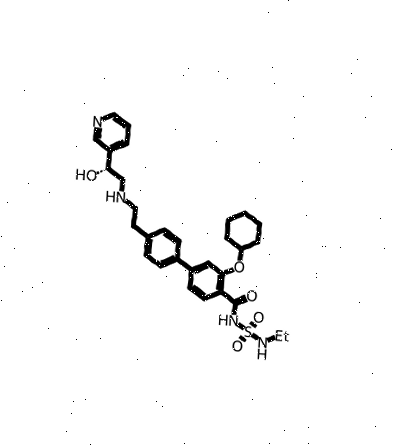 CCNS(=O)(=O)NC(=O)c1ccc(-c2ccc(CCNC[C@H](O)c3cccnc3)cc2)cc1OC1CCCCC1